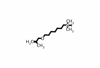 C=C(C)COCCCCCCC[Si](C)(C)I